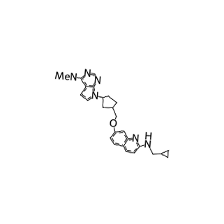 CNc1ncnc2c1ccn2C1CCC(COc2ccc3ccc(NCC4CC4)nc3c2)C1